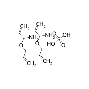 C=CCOC(N)C=C.C=CCOC(N)C=C.O=S(=O)(O)O